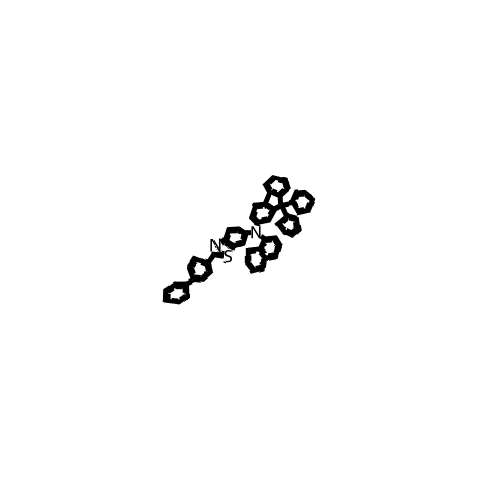 c1ccc(-c2ccc(-c3nc4ccc(N(c5ccc6c(c5)C(c5ccccc5)(c5ccccc5)c5ccccc5-6)c5cccc6ccccc56)cc4s3)cc2)cc1